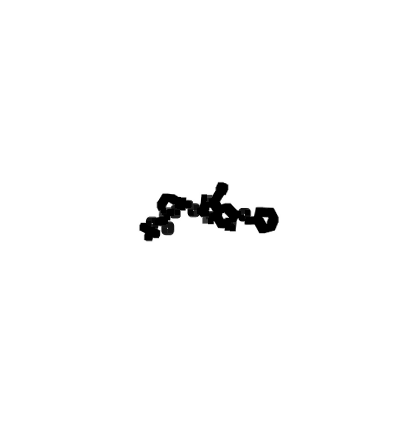 C#Cc1nc(OCN2CCCN(C(=O)OC(C)(C)C)S2)nc2cnc(OCc3ccccc3)cc12